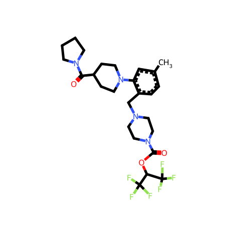 Cc1ccc(CN2CCN(C(=O)OC(C(F)(F)F)C(F)(F)F)CC2)c(N2CCC(C(=O)N3CCCC3)CC2)c1